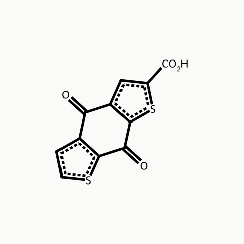 O=C(O)c1cc2c(s1)C(=O)c1sccc1C2=O